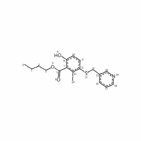 CCCCOC(=O)c1c(O)ccc(SCc2cccnc2)c1C